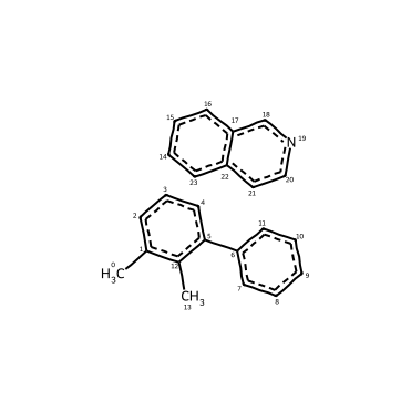 Cc1cccc(-c2ccccc2)c1C.c1ccc2cnccc2c1